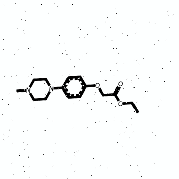 CCOC(=O)COc1ccc(N2CCN(C)CC2)cc1